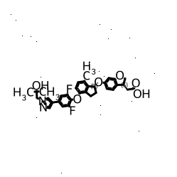 Cc1ccc(Oc2c(F)cc(-c3cnn(CC(C)(C)O)c3)cc2F)c2c1[C@H](Oc1ccc3c(c1)OC[C@H]3CC(=O)O)CC2